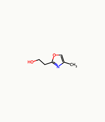 Cc1coc(CCO)n1